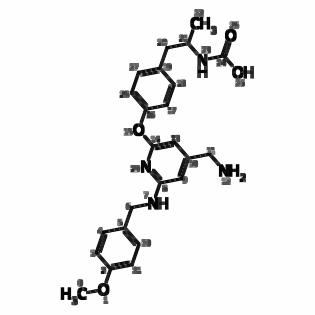 COc1ccc(CNc2cc(CN)cc(Oc3ccc(CC(C)NC(=O)O)cc3)n2)cc1